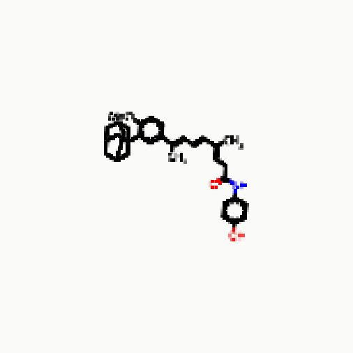 COc1ccc(C(C)=CC=CC(C)=CCC(=O)Nc2ccc(O)cc2)cc1C12CC3CC(CC(C3)C1)C2